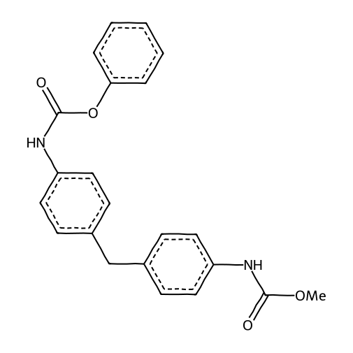 COC(=O)Nc1ccc(Cc2ccc(NC(=O)Oc3ccccc3)cc2)cc1